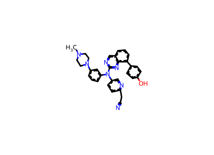 CN1CCN(c2cccc(N(c3ccc(CC#N)nc3)c3ncc4cccc(-c5ccc(O)cc5)c4n3)c2)CC1